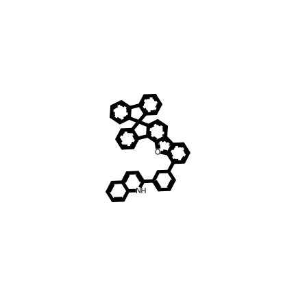 C1=CC2=CC=C(C3=CC=CC(c4cccc5c4oc4c6c(ccc45)C4(c5ccccc5-c5ccccc54)c4ccccc4-6)C3)NC2C=C1